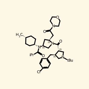 CC(C)C(=O)N([C@H]1C[C@@H](CC(=O)N2CCOCC2)N(C(=O)[C@@H]2CN(C(C)(C)C)C[C@H]2Cc2ccc(Cl)cc2)C1)[C@H]1CC[C@@H](C)CC1